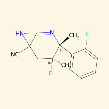 C[C@]1(F)CC2(C#N)NC2=N[C@]1(C)c1ccccc1F